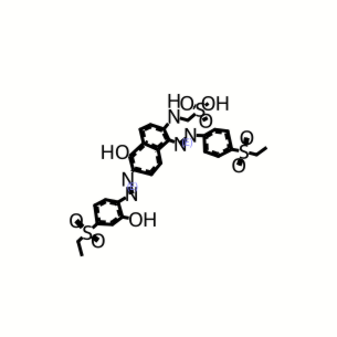 CCS(=O)(=O)c1ccc(/N=N/c2c(NCS(=O)(=O)O)ccc3c(O)c(/N=N/c4ccc(S(=O)(=O)CC)cc4O)ccc23)cc1